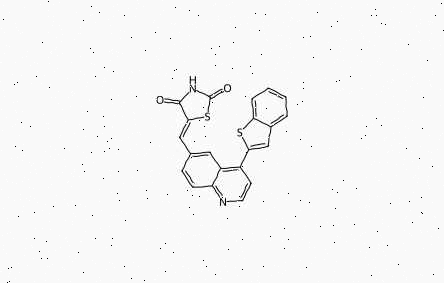 O=C1NC(=O)C(=Cc2ccc3nccc(-c4cc5ccccc5s4)c3c2)S1